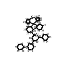 c1ccc(-c2cccc(-c3cc(-c4ccccc4)nc(-c4cccc5c4-c4ccccc4C54c5ccccc5Sc5ccccc54)c3)c2)cc1